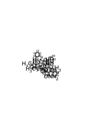 CC(=O)N[C@H](C(=O)NC(Cc1ccccc1)C(CN(CC(C)C)NC(=O)[C@@H](NC(=O)C(Cc1ccccc1)C(N)=O)C(C)C)OC(=O)c1ccco1)C(C)C